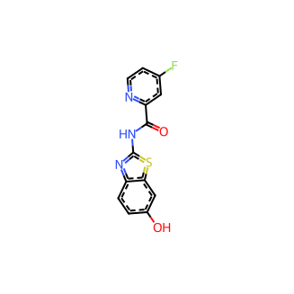 O=C(Nc1nc2ccc(O)cc2s1)c1cc(F)ccn1